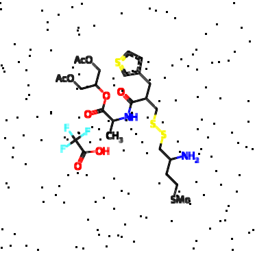 CSCCC(N)CSSCC(Cc1ccsc1)C(=O)NC(C)C(=O)OC(COC(C)=O)COC(C)=O.O=C(O)C(F)(F)F